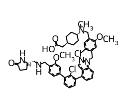 COc1cc(-c2cccc(-c3cccc4c3cnn4Cc3cc(OC)c(CN(C)[C@H]4CC[C@H](CC(=O)O)CC4)cc3Cl)c2Cl)ccc1CNC[C@@H]1CCC(=O)N1